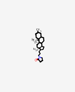 CC12CCC3C(CCC4CC(C(F)(F)F)CCC43C)C1CCC2CCCN1CCCC1=O